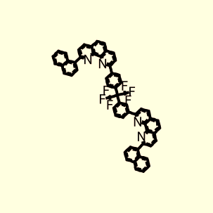 FC(F)(F)C(c1ccc(-c2ccc3ccc4ccc(-c5cccc6ccccc56)nc4c3n2)cc1)(c1cccc(-c2ccc3ccc4ccc(-c5cccc6ccccc56)nc4c3n2)c1)C(F)(F)F